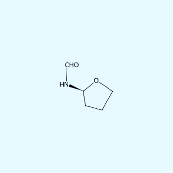 O=CN[C@@H]1CCCO1